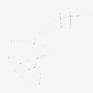 CCOC(=O)C(OCOC(F)(F)C(F)(F)S(=O)(=O)O)(OC(=O)C12CC3CC(CC(O)(C3)C1)C2)C(F)(F)F